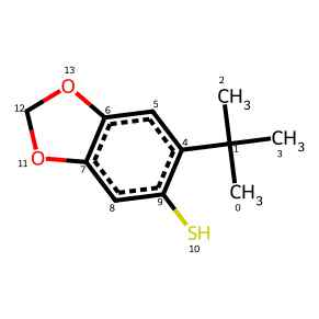 CC(C)(C)c1cc2c(cc1S)OCO2